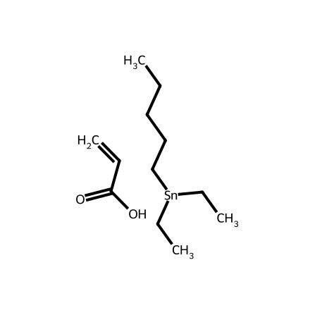 C=CC(=O)O.CCCC[CH2][Sn]([CH2]C)[CH2]C